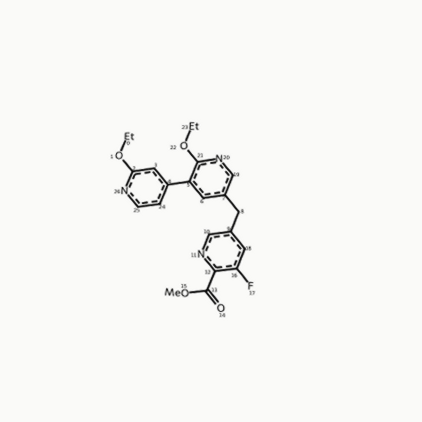 CCOc1cc(-c2cc(Cc3cnc(C(=O)OC)c(F)c3)cnc2OCC)ccn1